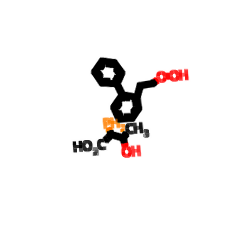 CC(O)C(P)C(=O)O.OOCCc1ccccc1-c1ccccc1